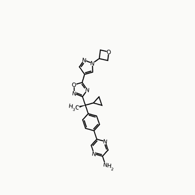 C[C@@](c1ccc(-c2cnc(N)cn2)cc1)(c1noc(-c2cnn(C3COC3)c2)n1)C1CC1